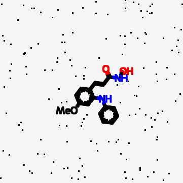 COc1ccc(/C=C/C(=O)NO)c(Nc2ccccc2)c1